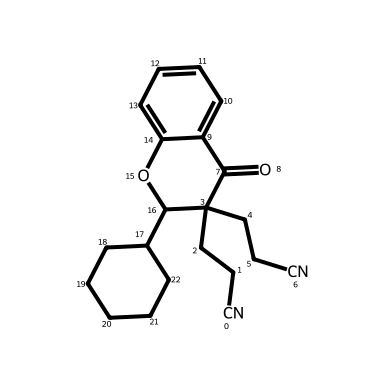 N#CCCC1(CCC#N)C(=O)c2ccccc2OC1C1CCCCC1